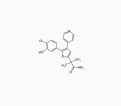 CC(C)(C(N)=O)c1cc(-c2ccncc2)c(-c2ccc(Cl)c(O)c2)o1